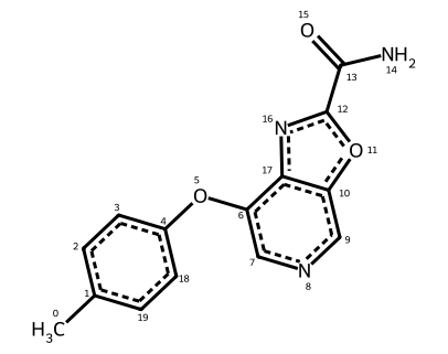 Cc1ccc(Oc2cncc3oc(C(N)=O)nc23)cc1